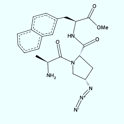 COC(=O)[C@H](Cc1ccc2ccccc2c1)NC(=O)[C@@H]1C[C@H](N=[N+]=[N-])CN1C(=O)[C@H](C)N